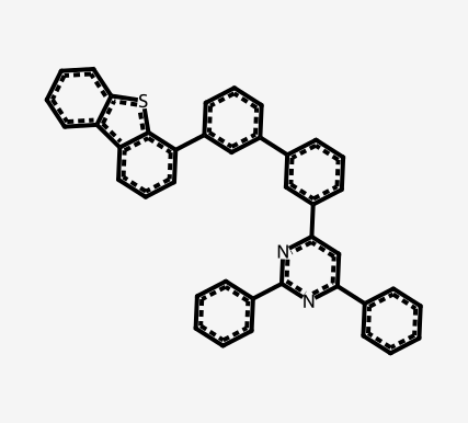 c1ccc(-c2cc(-c3cccc(-c4cccc(-c5cccc6c5sc5ccccc56)c4)c3)nc(-c3ccccc3)n2)cc1